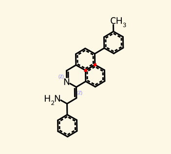 Cc1cccc(-c2ccc(/C=N\C(=C/C(N)c3ccccc3)c3ccccc3)cc2)c1